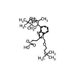 CC(C)C(O[Si](C)(C)C(C)(C)C)c1cccc2c1nc(CCS(=O)(=O)O)n2COCC[Si](C)(C)C